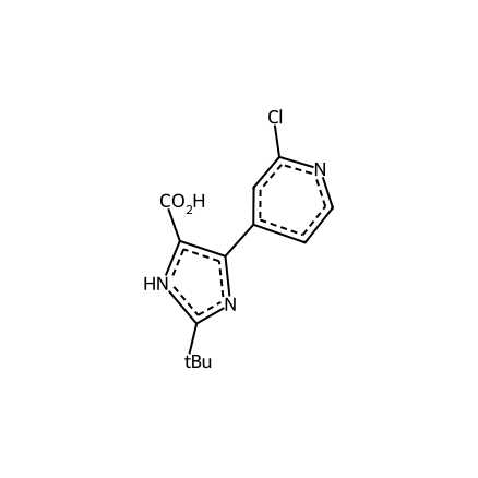 CC(C)(C)c1nc(-c2ccnc(Cl)c2)c(C(=O)O)[nH]1